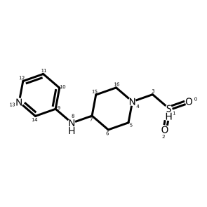 O=[SH](=O)CN1CCC(Nc2cccnc2)CC1